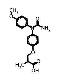 COc1ccc(N(C(N)=O)c2ccc(OCC(C)C(=O)O)cc2)cc1